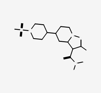 CCN(CC)C(=O)C1C(C)NN2CCC(C3CCN(S(C)(=O)=O)CC3)CC12